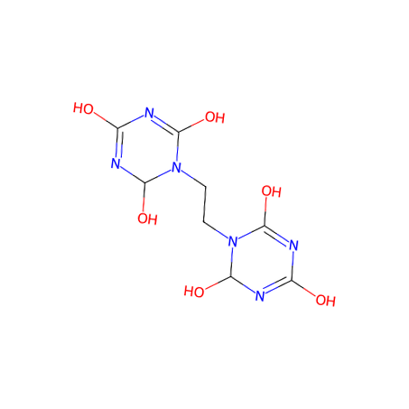 OC1=NC(O)N(CCN2C(O)=NC(O)=NC2O)C(O)=N1